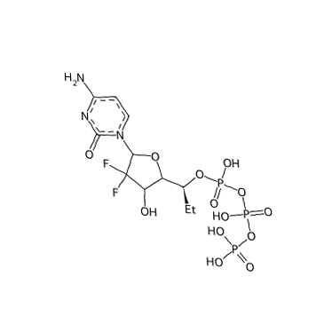 CC[C@H](OP(=O)(O)OP(=O)(O)OP(=O)(O)O)C1OC(n2ccc(N)nc2=O)C(F)(F)C1O